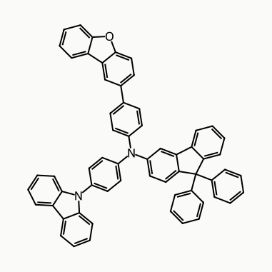 c1ccc(C2(c3ccccc3)c3ccccc3-c3cc(N(c4ccc(-c5ccc6oc7ccccc7c6c5)cc4)c4ccc(-n5c6ccccc6c6ccccc65)cc4)ccc32)cc1